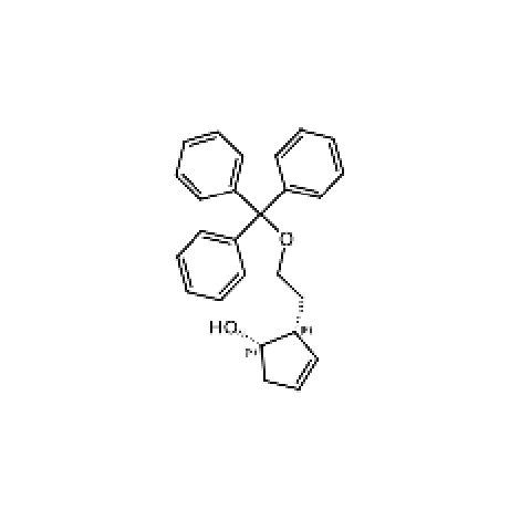 O[C@H]1CC=C[C@H]1CCOC(c1ccccc1)(c1ccccc1)c1ccccc1